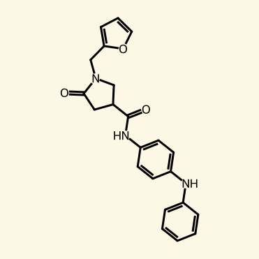 O=C(Nc1ccc(Nc2ccccc2)cc1)C1CC(=O)N(Cc2ccco2)C1